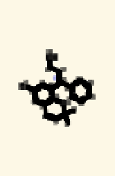 CC1(C)C=Cc2cc(Br)cc(/C(=C\CO)c3ccccc3)c2O1